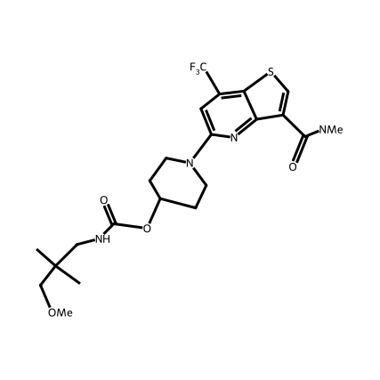 CNC(=O)c1csc2c(C(F)(F)F)cc(N3CCC(OC(=O)NCC(C)(C)COC)CC3)nc12